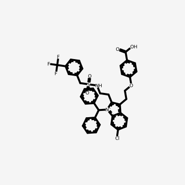 O=C(O)c1ccc(OCCc2c(CCNS(=O)(=O)Cc3cccc(C(F)(F)F)c3)n(C(c3ccccc3)c3ccccc3)c3cc(Cl)ccc23)cc1